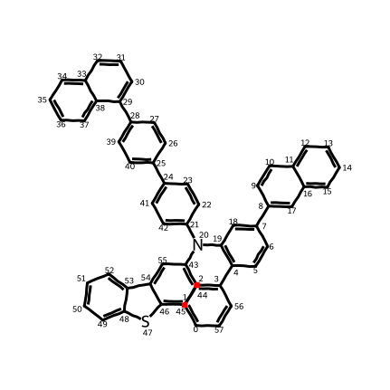 c1ccc(-c2ccc(-c3ccc4ccccc4c3)cc2N(c2ccc(-c3ccc(-c4cccc5ccccc45)cc3)cc2)c2ccc3sc4ccccc4c3c2)cc1